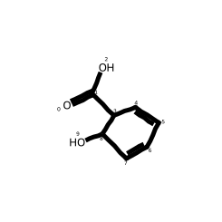 O=C(O)C1C=CC=CC1O